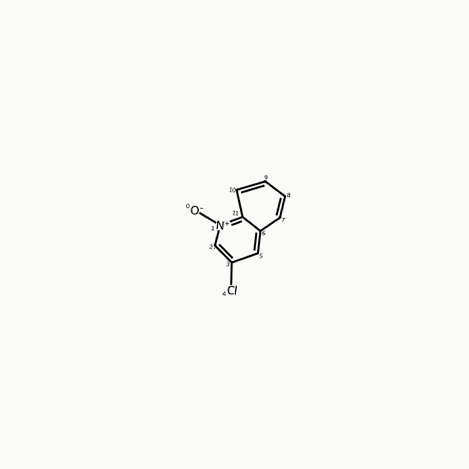 [O-][n+]1[c]c(Cl)cc2ccccc21